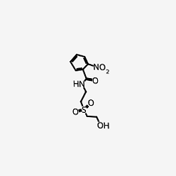 O=C(NCCS(=O)(=O)CCO)c1ccccc1[N+](=O)[O-]